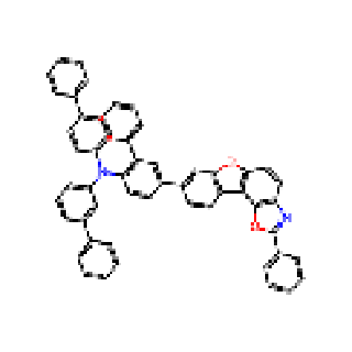 c1ccc(-c2ccc(N(c3cccc(-c4ccccc4)c3)c3ccc(-c4ccc5c(c4)oc4ccc6nc(-c7ccccc7)oc6c45)cc3-c3ccccc3)cc2)cc1